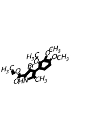 CCOC(=O)c1[nH]c(C)c(-c2ccc(OC)c(OC)c2OC)c1Br